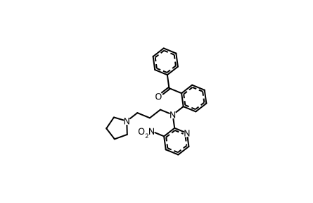 O=C(c1ccccc1)c1ccccc1N(CCCN1CCCC1)c1ncccc1[N+](=O)[O-]